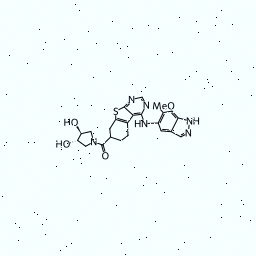 COc1cc2[nH]ncc2cc1Nc1ncnc2sc3c(c12)CCC(C(=O)N1C[C@H](O)[C@@H](O)C1)C3